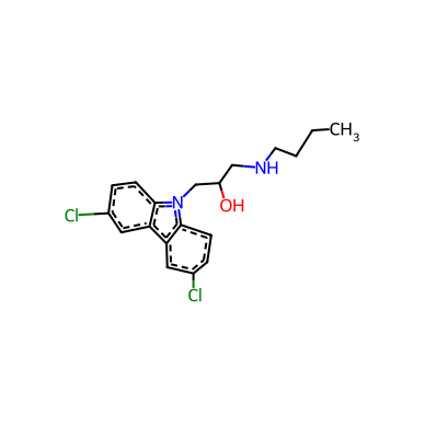 CCCCNCC(O)Cn1c2ccc(Cl)cc2c2cc(Cl)ccc21